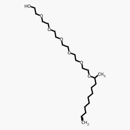 C=CCCCCCCCC(C)OCCOCCOCCOCCOCCOCCO